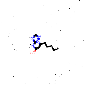 CCCCCc1cc(O)nc2ncnn12